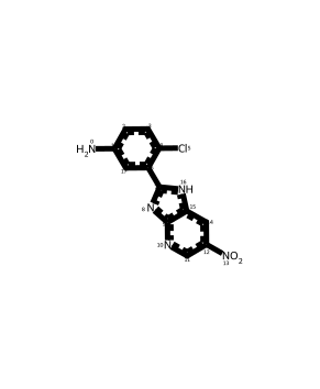 Nc1ccc(Cl)c(-c2nc3ncc([N+](=O)[O-])cc3[nH]2)c1